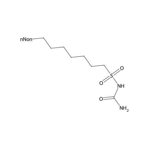 CCCCCCCCCCCCCCCCS(=O)(=O)NC(N)=O